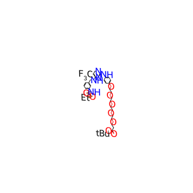 CCS(=O)(=O)Nc1cccc(CNc2nc(Nc3ccc(OCCOCCOCCOCCOCCC(=O)OC(C)(C)C)cc3)ncc2C(F)(F)F)c1